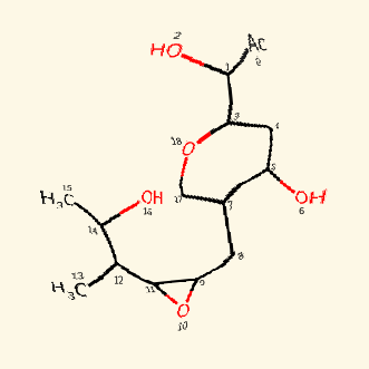 CC(=O)C(O)C1CC(O)C(CC2OC2C(C)C(C)O)CO1